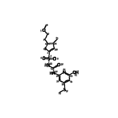 COCCc1sc(S(=O)(=O)NC(=O)Nc2cc(SC)cc(O)n2)cc1C